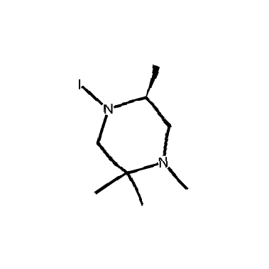 C[C@H]1CN(C)C(C)(C)CN1I